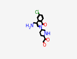 NCc1cn(C2CCC(C(=O)C=O)NC2)c(=O)c2ccc(Cl)cc12